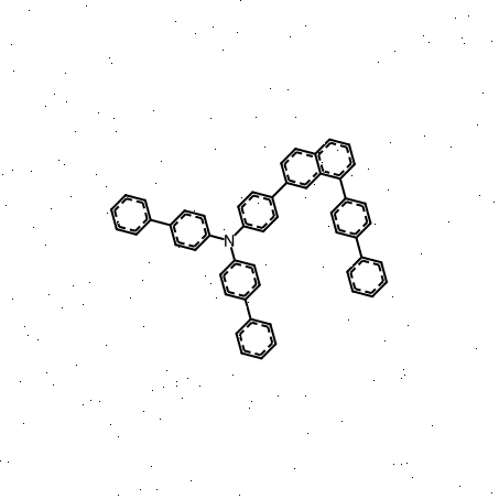 c1ccc(-c2ccc(-c3cccc4ccc(-c5ccc(N(c6ccc(-c7ccccc7)cc6)c6ccc(-c7ccccc7)cc6)cc5)cc34)cc2)cc1